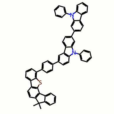 CC1(C)c2ccccc2-c2c1ccc1c2sc2c(-c3ccc(-c4ccc5c(c4)c4ccc(-c6ccc7c8ccccc8n(-c8ccccc8)c7c6)cc4n5-c4ccccc4)cc3)cccc21